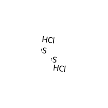 Cl.Cl.[S].[S]